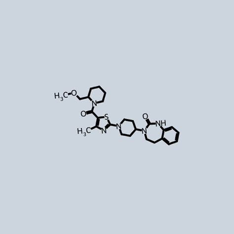 COCC1CCCCN1C(=O)c1sc(N2CCC(N3CCc4ccccc4NC3=O)CC2)nc1C